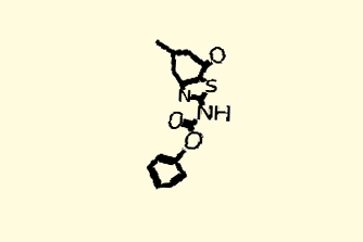 CC1CC(=O)c2sc(NC(=O)Oc3ccccc3)nc2C1